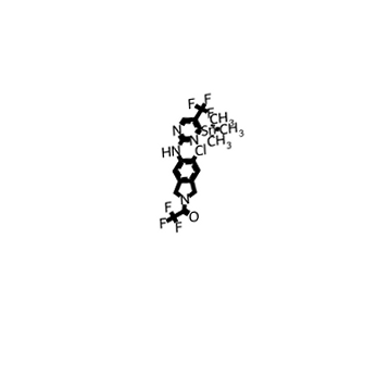 [CH3][Sn]([CH3])([CH3])[c]1nc(Nc2cc3c(cc2Cl)CN(C(=O)C(F)(F)F)C3)ncc1C(F)(F)F